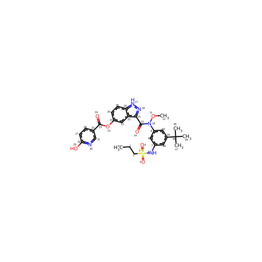 CCCS(=O)(=O)Nc1cc(N(OC)C(=O)c2n[nH]c3ccc(OC(=O)c4ccc(O)nc4)cc23)cc(C(C)(C)C)c1